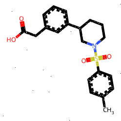 Cc1ccc(S(=O)(=O)N2CCCC(c3cccc(CC(=O)O)c3)C2)cc1